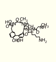 CNCC(=O)N[C@@H](CCCCN)C(=O)N(C)[C@@H]1C(=O)N[C@@H](C)C(=O)N[C@H](C(=O)O)Cc2ccc(O)c(c2)-c2cc1ccc2O